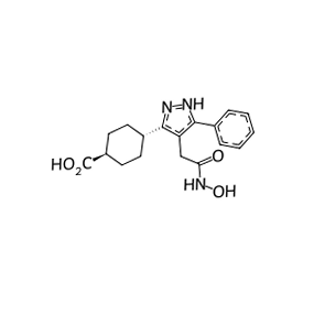 O=C(Cc1c(-c2ccccc2)[nH]nc1[C@H]1CC[C@H](C(=O)O)CC1)NO